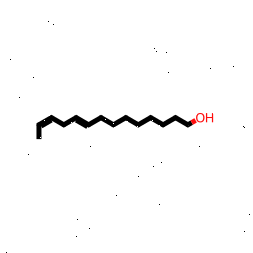 C/C=C\C/C=C/CCCCCCCCO